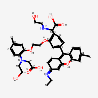 CC/N=c1/ccc2c(-c3ccc(C(NCCO)C(=O)O)c(OCCOc4cc(C)ccc4N(CCO)CC(=O)O)c3)c3ccc(C)cc3oc-2c1